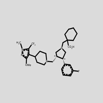 COc1nn(C)c(C(F)(F)F)c1C1CCN(C[C@@H]2CN(CC3(C(=O)O)CCCCC3)C[C@@H]2c2cccc(F)c2)CC1